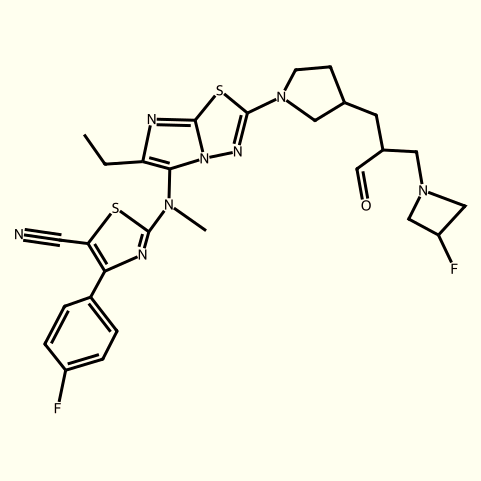 CCc1nc2sc(N3CCC(CC(C=O)CN4CC(F)C4)C3)nn2c1N(C)c1nc(-c2ccc(F)cc2)c(C#N)s1